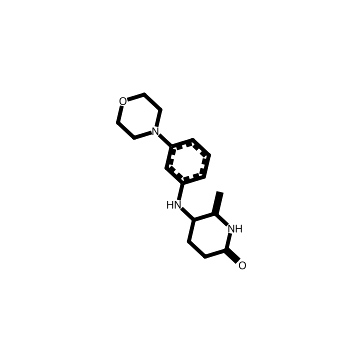 C=C1NC(=O)CCC1Nc1cccc(N2CCOCC2)c1